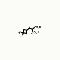 O=C(O)C(CC1CC(F)(F)C1)C(=O)O